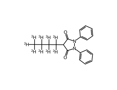 [2H]C([2H])([2H])C([2H])([2H])C([2H])([2H])C([2H])([2H])C1C(=O)N(c2ccccc2)N(c2ccccc2)C1=O